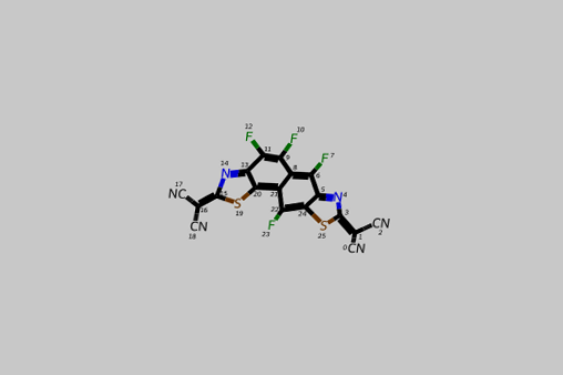 N#CC(C#N)=c1nc2c(F)c3c(F)c(F)c4nc(=C(C#N)C#N)sc4c3c(F)c2s1